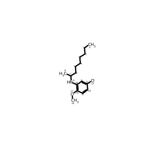 CCCCCCCC(C)Nc1cc(Cl)ccc1OC